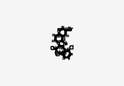 COC(=O)c1c(-c2c(Cl)cccc2Cl)nc2c3cc(Br)cnc3ccn12